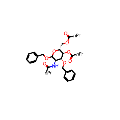 CCCC(=O)N[C@H]1C(OCc2ccccc2)O[C@H](COC(=O)CCC)[C@@H](OC(=O)CCC)[C@@H]1OCc1ccccc1